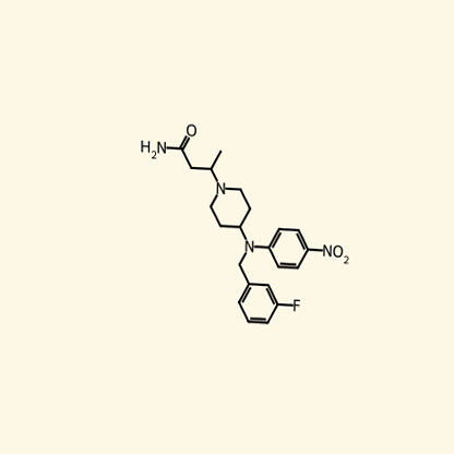 CC(CC(N)=O)N1CCC(N(Cc2cccc(F)c2)c2ccc([N+](=O)[O-])cc2)CC1